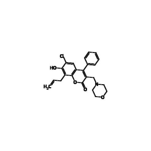 C=CCc1c(O)c(Cl)cc2c(-c3ccccc3)c(CN3CCOCC3)c(=O)oc12